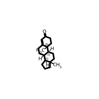 C[C@@]12[CH]CC[C@H]1[C@H]1CCC3=CC(=O)CC[C@]3(C)[C@H]1CC2